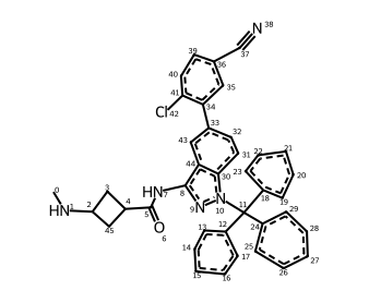 CNC1CC(C(=O)Nc2nn(C(c3ccccc3)(c3ccccc3)c3ccccc3)c3ccc(-c4cc(C#N)ccc4Cl)cc23)C1